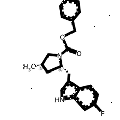 C[C@H]1C[C@@H](Cc2c[nH]c3cc(F)ccc23)N(C(=O)OCc2ccccc2)C1